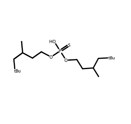 CC(CCOP(O)(=S)OCCC(C)CC(C)(C)C)CC(C)(C)C